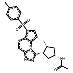 CC(=O)N[C@H]1C[C@@H](C)[C@@H](c2nnc3cnc4c(ccn4S(=O)(=O)c4ccc(C)cc4)n23)C1